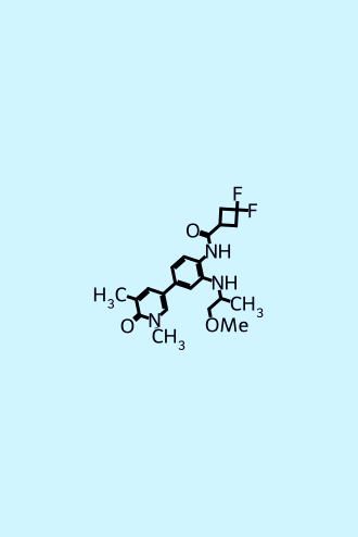 COCC(C)Nc1cc(-c2cc(C)c(=O)n(C)c2)ccc1NC(=O)C1CC(F)(F)C1